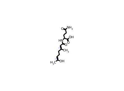 C/C(O)=C/CC/C(C)=C/C(=O)NC(CCC(N)=O)C(=O)O